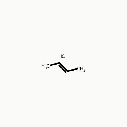 C/C=C/C.Cl